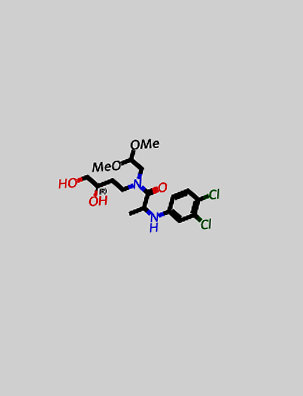 COC(CN(CC[C@@H](O)CO)C(=O)C(C)Nc1ccc(Cl)c(Cl)c1)OC